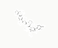 Cc1ncsc1-c1ccc([C@H](C)NC(=O)[C@@H]2CCCN2C(=O)[C@@H](NC(=O)c2ccc(Br)cn2)C(C)(C)C)cc1